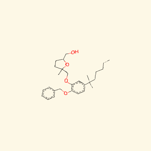 CCCCCC(C)(C)c1ccc(OCc2ccccc2)c(OCC2(C)CCC(CO)O2)c1